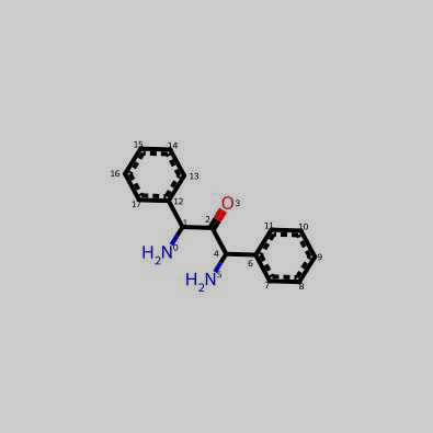 NC(C(=O)C(N)c1ccccc1)c1ccccc1